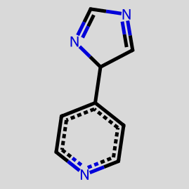 C1=NC=NC1c1ccncc1